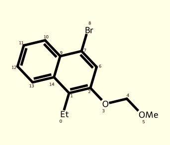 CCc1c(OCOC)cc(Br)c2ccccc12